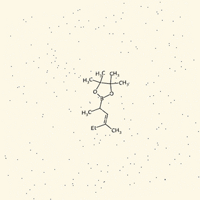 CC/C(C)=C\C(C)B1OC(C)(C)C(C)(C)O1